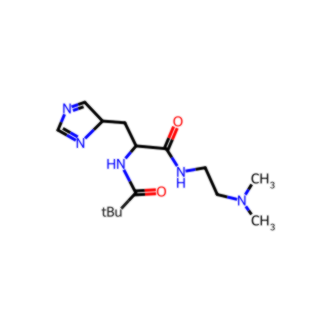 CN(C)CCNC(=O)C(CC1C=NC=N1)NC(=O)C(C)(C)C